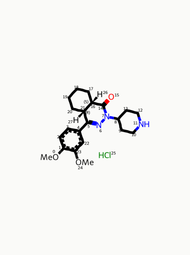 COc1ccc(C2=NN(C3CCNCC3)C(=O)[C@H]3CCCC[C@@H]23)cc1OC.Cl